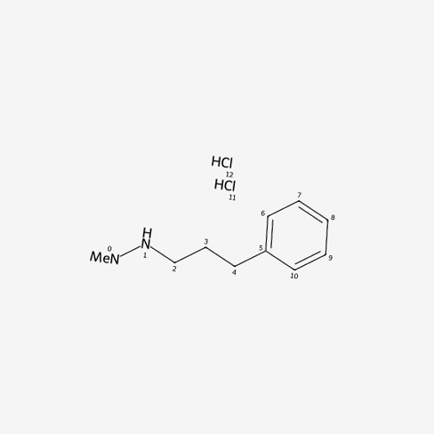 CNNCCCc1ccccc1.Cl.Cl